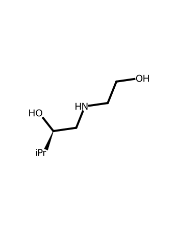 CC(C)[C@@H](O)CNCCO